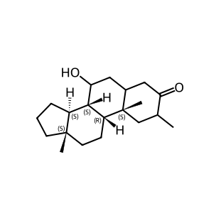 CC1C[C@@]2(C)C(CC1=O)CC(O)[C@@H]1[C@H]2CC[C@]2(C)CCC[C@@H]12